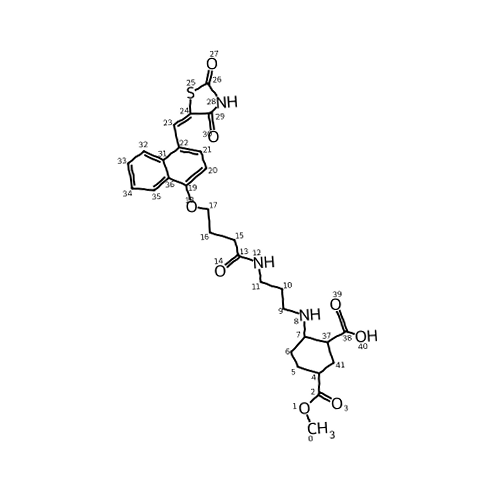 COC(=O)C1CCC(NCCCNC(=O)CCCOc2ccc(C=C3SC(=O)NC3=O)c3ccccc23)C(C(=O)O)C1